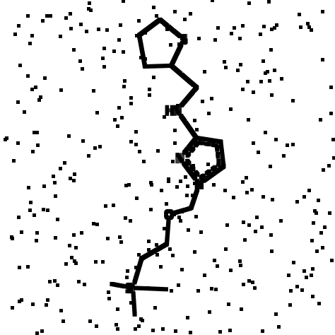 C[Si](C)(C)CCOCn1ccc(NCC2CCCS2)n1